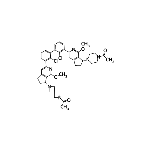 COc1nc(-c2cccc(-c3cccc(-c4cc5c(c(OC)n4)[C@H](N4CC6(CN(C(C)=O)C6)C4)CC5)c3Cl)c2Cl)cc2c1[C@H](N1CCN(C(C)=O)CC1)CC2